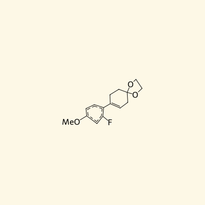 COc1ccc(C2=CCC3(CC2)OCCO3)c(F)c1